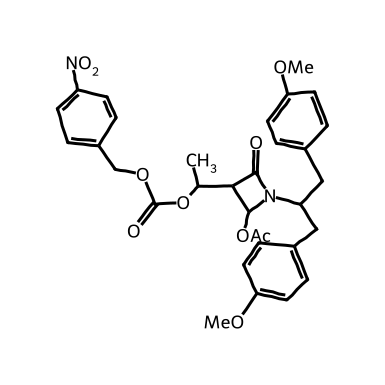 COc1ccc(CC(Cc2ccc(OC)cc2)N2C(=O)C(C(C)OC(=O)OCc3ccc([N+](=O)[O-])cc3)C2OC(C)=O)cc1